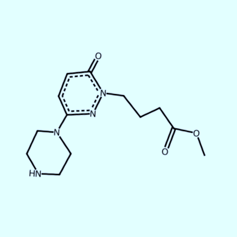 COC(=O)CCCn1nc(N2CCNCC2)ccc1=O